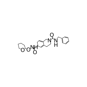 O=C(NOC1CCCCO1)C1C=C2CCN(C(=O)NCc3ccccc3)CC2=CC1